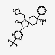 CN[C@]1(c2ccccc2)CC[C@]2(CC1)CN(c1cnc(C(F)(F)F)nc1)C(=O)N2CC1COC1